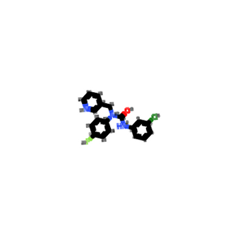 O=C(Nc1cccc(Cl)c1)N(Cc1cccnc1)c1ccc(F)cc1